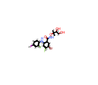 CC(C)(ONC(=O)c1cc(Br)c(F)cc1Nc1ccc(I)cc1F)C(O)CO